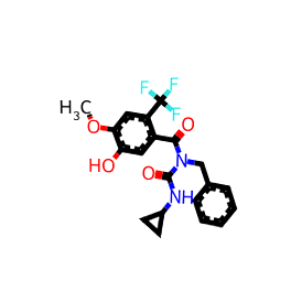 COc1cc(C(F)(F)F)c(C(=O)N(Cc2ccccc2)C(=O)NC2CC2)cc1O